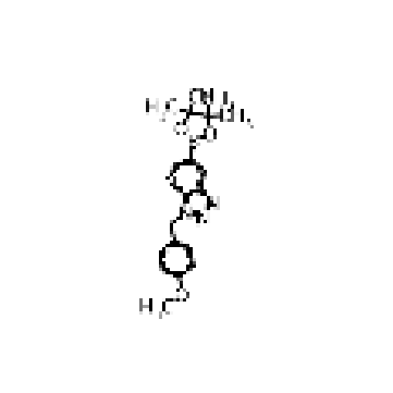 COc1ccc(Cn2nnc3cc(B4OC(C)(C)C(C)(C)O4)cnc32)cc1